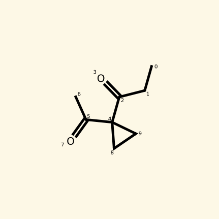 CCC(=O)C1(C(C)=O)CC1